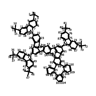 CC(C)(C)c1ccc2c(c1)c1cc(C(C)(C)C)ccc1n2-c1ccc2c(c1)c1cc(-n3c4ccc(C(C)(C)C)cc4c4cc(C(C)(C)C)ccc43)cc3c4cc5c(cc4n2c13)c1cc(-n2c3ccc(C(C)(C)C)cc3c3cc(C(C)(C)C)ccc32)cc2c3cc4c(cc3n5c21)-c1ccccc1-c1ccccc1-c1ccccc1-4